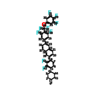 CC1CCC(c2ccc(-c3ccc4cc(-c5cc(F)c(C(F)(F)Oc6cc(F)c(F)c(F)c6)c(F)c5)ccc4c3)c(F)c2F)CC1